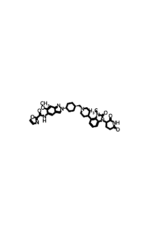 COc1cc2nn([C@H]3CC[C@H](CN4CCC(c5cccc6c5n(C)c(=O)n6C5CCC(=O)NC5=O)CC4)CC3)cc2cc1NC(=O)c1ncco1